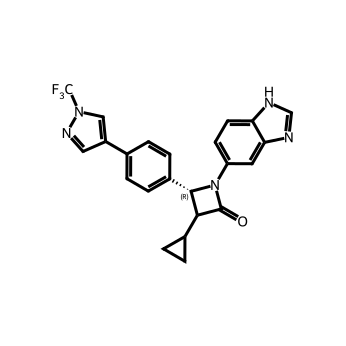 O=C1C(C2CC2)[C@H](c2ccc(-c3cnn(C(F)(F)F)c3)cc2)N1c1ccc2[nH]cnc2c1